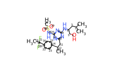 CC(C)CC(CO)Nc1nc(CC(C)c2ccc(C(C)(F)F)cc2)nc(NS(C)(=O)=O)n1